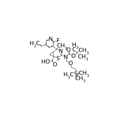 C=Cc1cnc(F)c(C2(C)N=C(N(COCC[Si](C)(C)C)C(=O)OC(C)(C)C)SC3(C(=O)O)CC32)c1